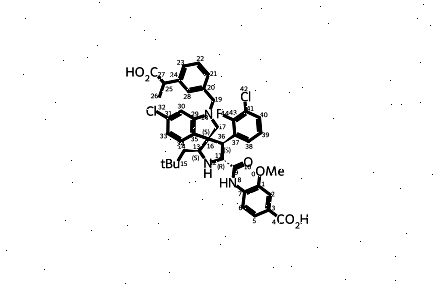 COc1cc(C(=O)O)ccc1NC(=O)[C@@H]1N[C@@H](CC(C)(C)C)[C@@]2(CN(Cc3cccc(C(C)C(=O)O)c3)c3cc(Cl)ccc32)[C@H]1c1cccc(Cl)c1F